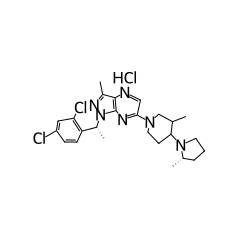 Cc1nn([C@H](C)c2ccc(Cl)cc2Cl)c2nc(N3CCC(N4CCC[C@@H]4C)C(C)C3)cnc12.Cl